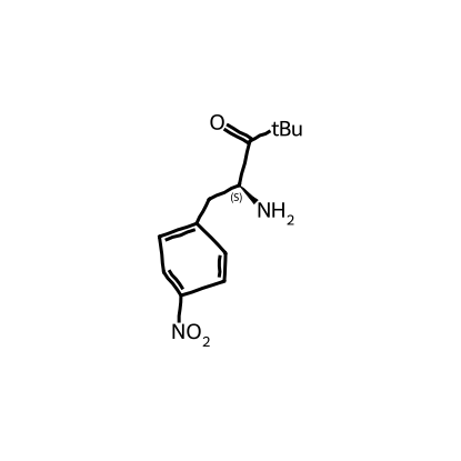 CC(C)(C)C(=O)[C@@H](N)Cc1ccc([N+](=O)[O-])cc1